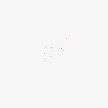 CO/N=C(/C)C(CCC(=O)OC)Sc1ccc2ccccc2c1